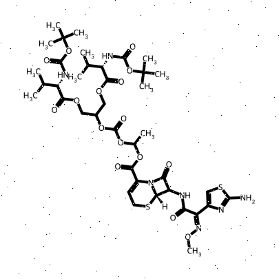 CO/N=C(\C(=O)NC1C(=O)N2C(C(=O)OC(C)OC(=O)OC(COC(=O)[C@@H](NC(=O)OC(C)(C)C)C(C)C)COC(=O)[C@@H](NC(=O)OC(C)(C)C)C(C)C)=CCS[C@@H]12)c1csc(N)n1